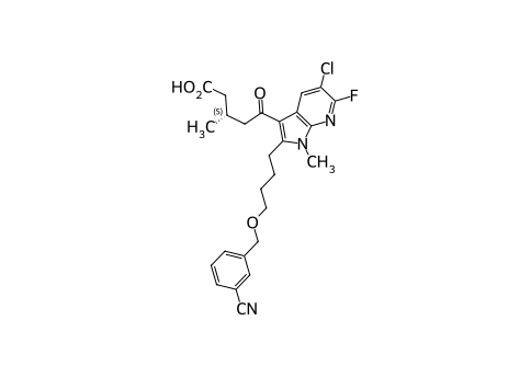 C[C@H](CC(=O)O)CC(=O)c1c(CCCCOCc2cccc(C#N)c2)n(C)c2nc(F)c(Cl)cc12